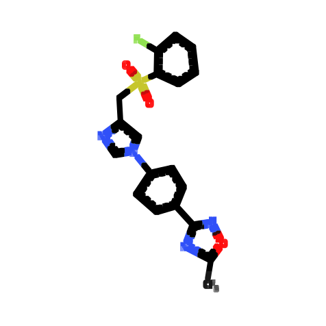 O=S(=O)(Cc1cn(-c2ccc(-c3noc(C(F)(F)F)n3)cc2)cn1)c1ccccc1F